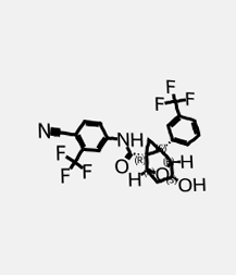 N#Cc1ccc(NC(=O)[C@]23C[C@@]2(c2cccc(C(F)(F)F)c2)[C@H]2O[C@@H]3C[C@@H]2O)cc1C(F)(F)F